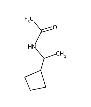 CC(NC(=O)C(F)(F)F)C1CCC1